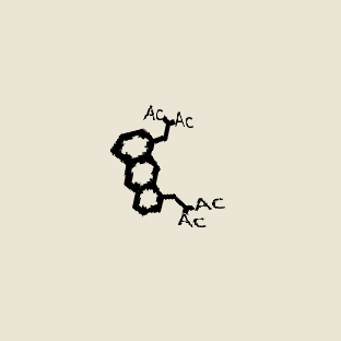 CC(=O)C(Cc1cccc2cc3cccc(CC(C(C)=O)C(C)=O)c3cc12)C(C)=O